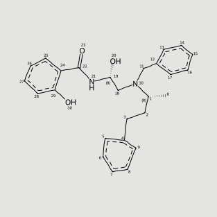 C[C@H](CCc1ccccc1)N(Cc1ccccc1)C[C@@H](O)NC(=O)c1ccccc1O